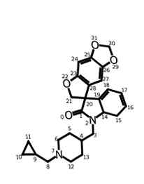 O=C1N(CC2CCN(CC3CC3)CC2)C2CC=CC=C2C12COc1cc3c(cc12)OCO3